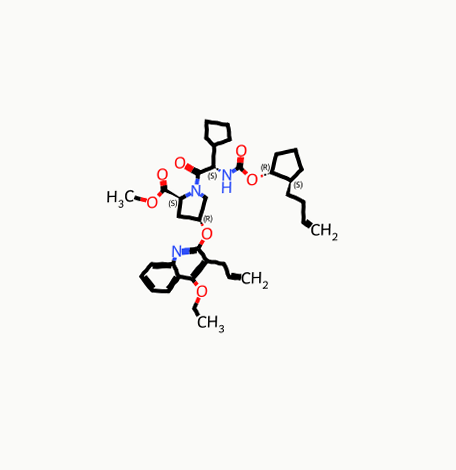 C=CCC[C@@H]1CCC[C@H]1OC(=O)N[C@H](C(=O)N1C[C@H](Oc2nc3ccccc3c(OCC)c2CC=C)C[C@H]1C(=O)OC)C1CCCC1